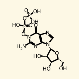 Nc1nc2c(ncn2[C@@H]2O[C@H](CO)[C@@H](O)[C@H]2O)c(=O)n1OP(=O)(O)OP(=O)(O)O